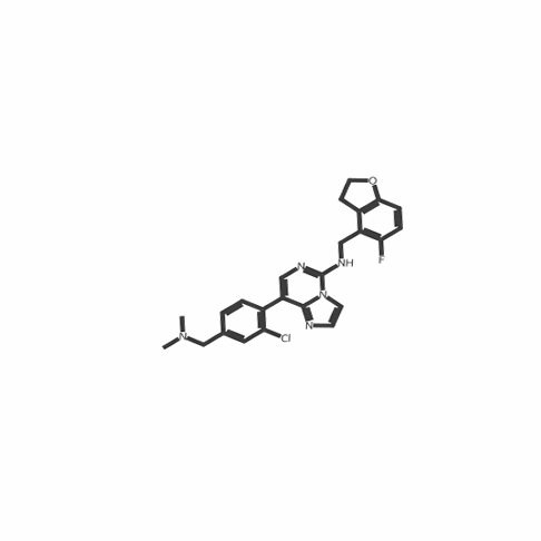 CN(C)Cc1ccc(-c2cnc(NCc3c(F)ccc4c3CCO4)n3ccnc23)c(Cl)c1